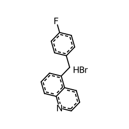 Br.Fc1ccc(Cc2cccc3ncccc23)cc1